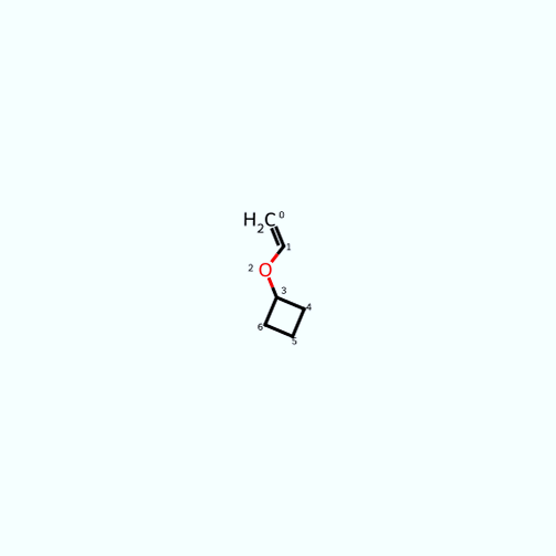 C=COC1CCC1